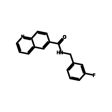 O=C(NCc1cccc(F)c1)c1ccc2ncccc2c1